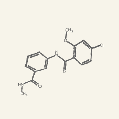 CNC(=O)c1cccc(NC(=O)c2ccc(Cl)cc2OC)c1